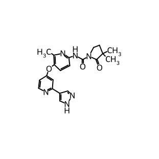 Cc1nc(NC(=O)N2CCC(C)(C)C2=O)ccc1Oc1ccnc(-c2cn[nH]c2)c1